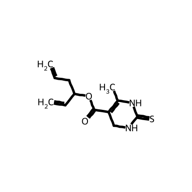 C=CCC(C=C)OC(=O)C1=C(C)NC(=S)NC1